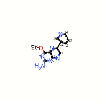 CCOc1nc(N)nc2ncc(-c3cccnc3)nc12